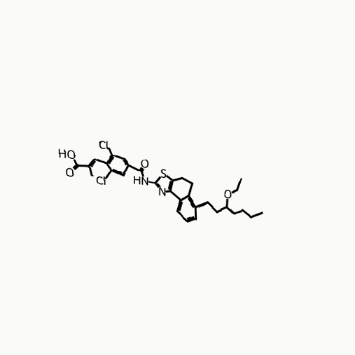 CCCCC(CCc1cccc2c1CCc1sc(NC(=O)c3cc(Cl)c(/C=C(\C)C(=O)O)c(Cl)c3)nc1-2)OCC